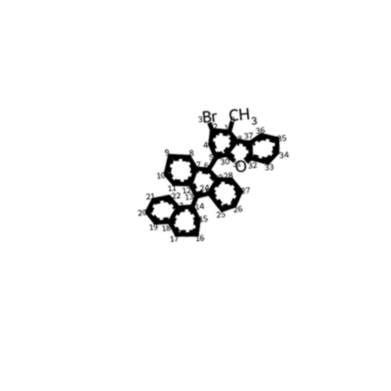 Cc1c(Br)cc(-c2c3ccccc3c(-c3cccc4ccccc34)c3ccccc23)c2oc3ccccc3c12